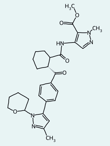 COC(=O)c1c(NC(=O)C2CCCC[C@H]2C(=O)c2ccc(-c3cc(C)nn3C3CCCCO3)cc2)cnn1C